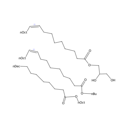 CCCCCCCC/C=C\CCCCCCCC(=O)OCC(O)CO.CCCCCCCC/C=C\CCCCCCCC(=O)OCCCC.CCCCCCCCCCCCCCCCCC(=O)OCCCCCCCC